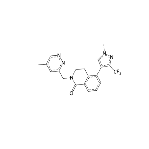 Cc1cnnc(CN2CCc3c(cccc3-c3cn(C)nc3C(F)(F)F)C2=O)c1